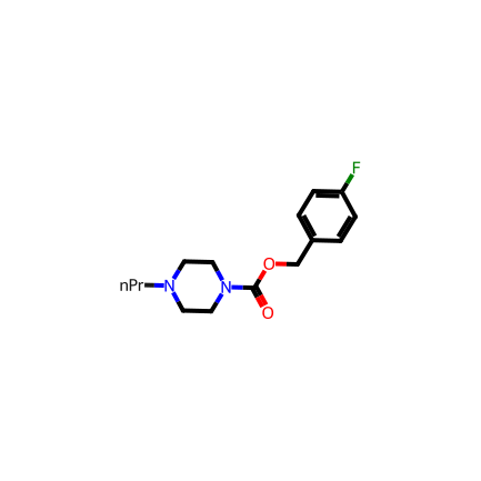 [CH2]CCN1CCN(C(=O)OCc2ccc(F)cc2)CC1